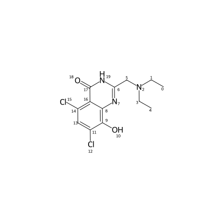 CCN(CC)Cc1nc2c(O)c(Cl)cc(Cl)c2c(=O)[nH]1